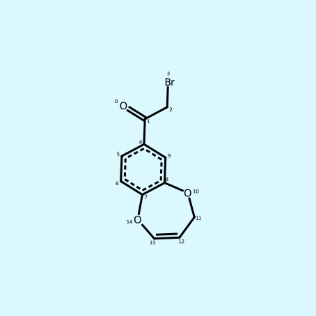 O=C(CBr)c1ccc2c(c1)OCC=CO2